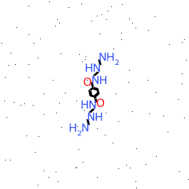 NCCNCCNC(=O)c1ccc(C(=O)NCCNCCN)cc1